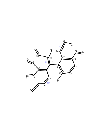 C=C/C=C\C(=C(C=C)C=C)/C(=C(/C)C=C)c1c(C)ccc(C=C)c1/C=C\C